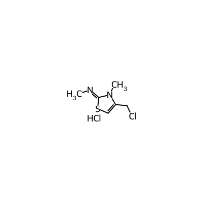 C/N=c1\scc(CCl)n1C.Cl